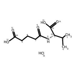 CC(C)[C@H](NC(=O)CCCC(=O)O)C(=O)O.Cl